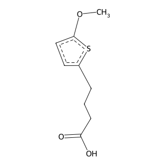 COc1ccc(CCCC(=O)O)s1